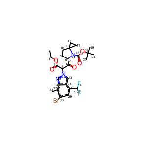 CCOC(=O)C(C(=O)[C@H]1CCC2(CC2)N1C(=O)OC(C)(C)C)n1cc2c(C(F)F)cc(Br)c(C)c2n1